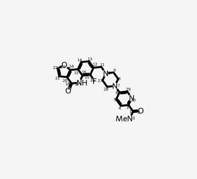 CNC(=O)c1ccc(N2CCN(Cc3ccc4c([nH]c(=O)c5ccoc54)c3F)CC2)cn1